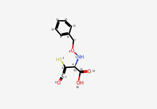 O=C=C(S)[C@@H](NOCc1ccccc1)C(=O)O